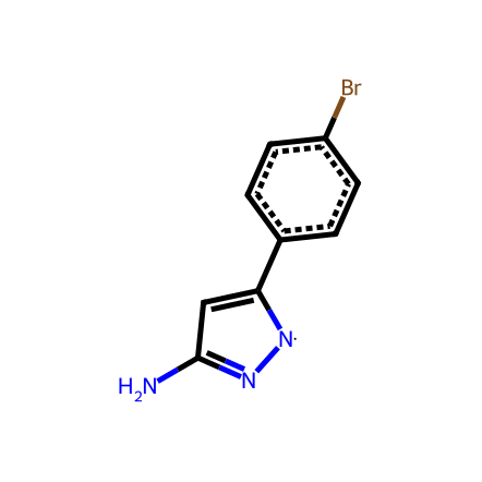 NC1=N[N]C(c2ccc(Br)cc2)=C1